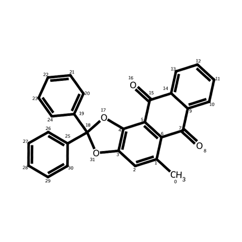 Cc1cc2c(c3c1C(=O)c1ccccc1C3=O)OC(c1ccccc1)(c1ccccc1)O2